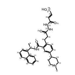 C[C@@H](NC(=O)c1cc(C2CCN(C)CC2)ccc1CCC(=O)NNC(=O)/C=C/C(=O)O)c1cccc2ccccc12